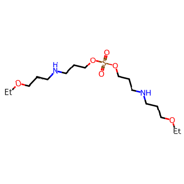 CCOCCCNCCCOS(=O)(=O)OCCCNCCCOCC